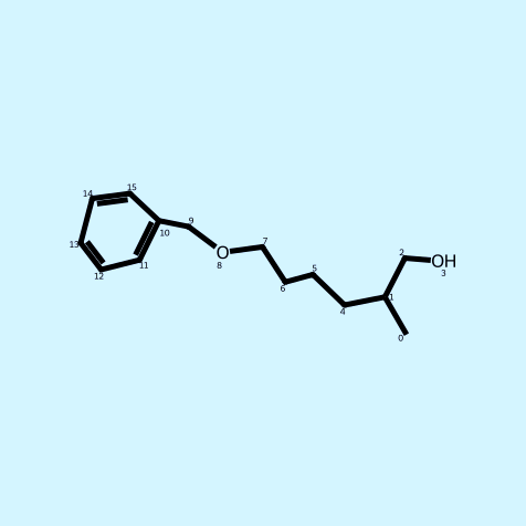 CC(CO)CCCCOCc1ccccc1